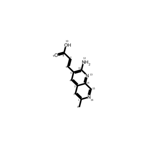 Cc1cc2cc(/C=C/C(=O)O)c(N)nc2cn1